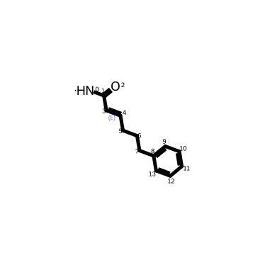 [NH]C(=O)/C=C/CCCc1ccccc1